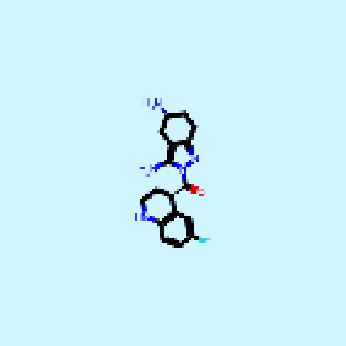 Nc1c2c(nn1C(=O)[C@@H]1CCNc3ccc(F)cc31)CC[C@H](N)C2